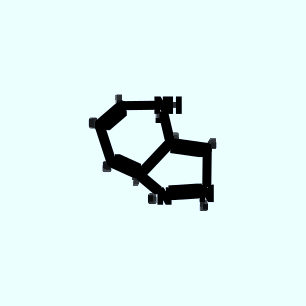 c1c[nH]c2cnnc-2c1